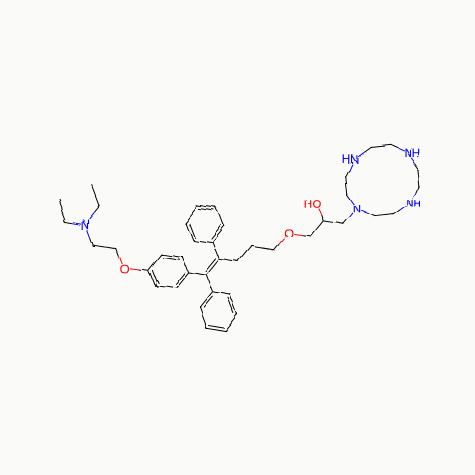 CCN(CC)CCOc1ccc(/C(=C(/CCCOCC(O)CN2CCNCCNCCNCC2)c2ccccc2)c2ccccc2)cc1